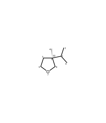 CC(C)[C@]1(C)CCOC1